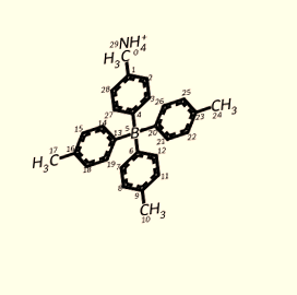 Cc1ccc([B-](c2ccc(C)cc2)(c2ccc(C)cc2)c2ccc(C)cc2)cc1.[NH4+]